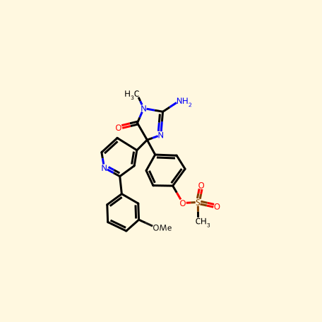 COc1cccc(-c2cc(C3(c4ccc(OS(C)(=O)=O)cc4)N=C(N)N(C)C3=O)ccn2)c1